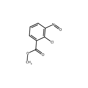 COC(=O)c1cccc(N=O)c1Cl